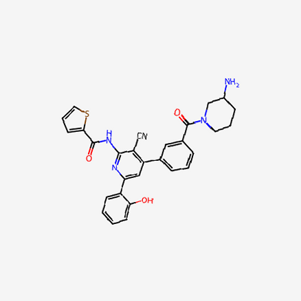 N#Cc1c(-c2cccc(C(=O)N3CCCC(N)C3)c2)cc(-c2ccccc2O)nc1NC(=O)c1cccs1